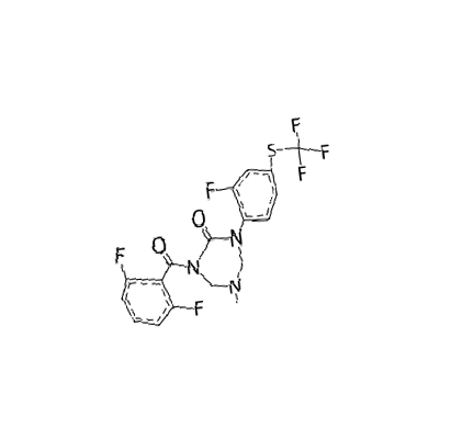 CN1CN(C(=O)c2c(F)cccc2F)C(=O)N(c2ccc(SC(F)(F)F)cc2F)C1